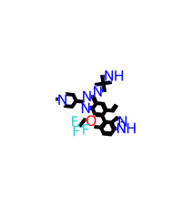 C=Cc1cc2c(N3CC4(CNC4)C3)nc(C3CCN(C)CC3)nc2c(OCC(F)(F)F)c1-c1c(C)ccc2[nH]ncc12